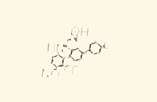 O=[N+]([O-])c1ccc(NC(C=NO)c2cccc(-c3ccc(Cl)cc3)c2)cc1C(F)(F)F